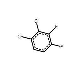 Fc1ccc(Cl)c(Cl)c1F